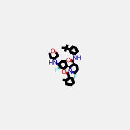 Cc1cccc(F)c1C(=O)N1CCC[C@H](C(=O)Nc2cccc(C(C)(C)C)c2)[C@@H]1c1ccc(NC2CCOCC2)c(F)c1